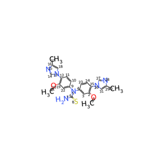 COc1cc(N(C(N)=S)c2ccc(-n3cnc(C)c3)c(OC)c2)ccc1-n1cnc(C)c1